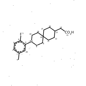 Cc1ccc(F)c(N2CCC3(CCC(CC(=O)O)CC3)CC2)c1